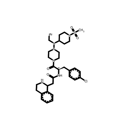 CC(C)CN(C1CCN(S(C)(=O)=O)CC1)N1CCN(C(=O)[C@@H](Cc2ccc(Cl)cc2)NC(=O)CC2NCCc3ccccc32)CC1